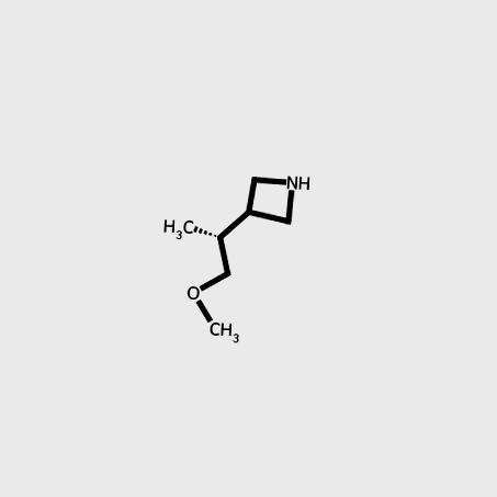 COC[C@H](C)C1CNC1